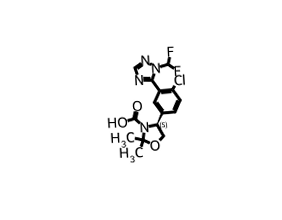 CC1(C)OC[C@H](c2ccc(Cl)c(-c3ncnn3C(F)F)c2)N1C(=O)O